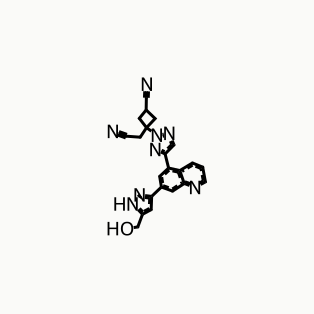 N#CCC1(n2ncc(-c3cc(-c4cc(CO)[nH]n4)cc4ncccc34)n2)CC(C#N)C1